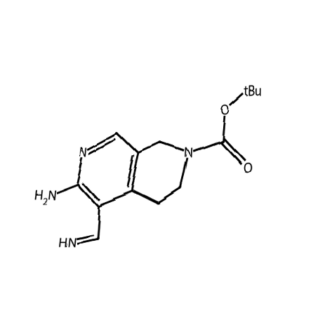 CC(C)(C)OC(=O)N1CCc2c(cnc(N)c2C=N)C1